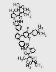 COC(=O)N[C@H](C(=O)N1CCC[C@H]1c1nc2cc([C@H]3CC[C@H](c4ccc5[nH]c([C@@H]6CCCN6C(=O)[C@H](C(C)C)N(C)C(=O)O)nc5c4)N3c3cc(F)c(N4CCC(C)(C)CC4)c(F)c3)ccc2[nH]1)C(C)C